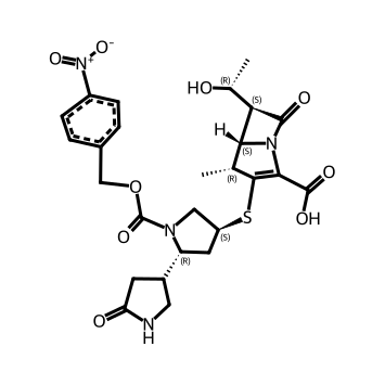 C[C@@H](O)[C@H]1C(=O)N2C(C(=O)O)=C(S[C@H]3C[C@H](C4CNC(=O)C4)N(C(=O)OCc4ccc([N+](=O)[O-])cc4)C3)[C@H](C)[C@H]12